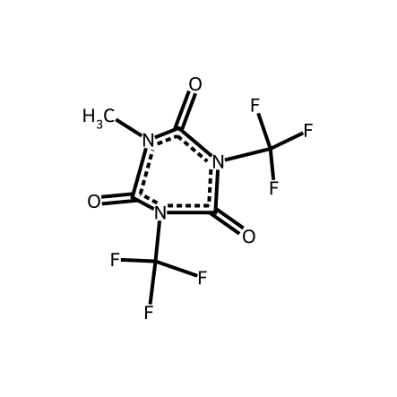 Cn1c(=O)n(C(F)(F)F)c(=O)n(C(F)(F)F)c1=O